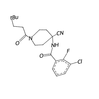 CC(C)(C)CCC(=O)N1CCC(C#N)(NC(=O)c2cccc(Cl)c2F)CC1